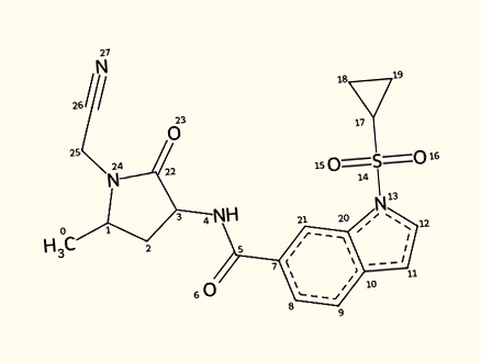 CC1CC(NC(=O)c2ccc3ccn(S(=O)(=O)C4CC4)c3c2)C(=O)N1CC#N